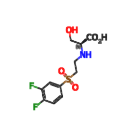 O=C(O)[C@H](CO)NCCS(=O)(=O)c1ccc(F)c(F)c1